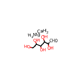 O=CC(O)C(O)C(O)C(O)CO.[CaH2].[MgH2]